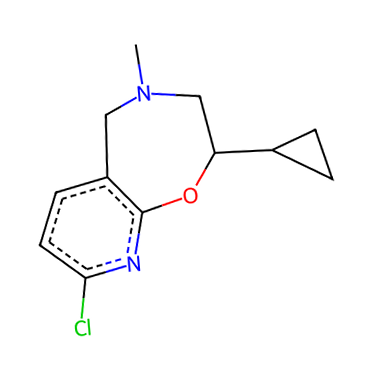 CN1Cc2ccc(Cl)nc2OC(C2CC2)C1